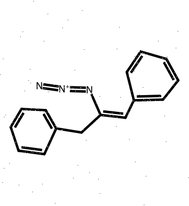 [N-]=[N+]=NC(=Cc1ccccc1)Cc1ccccc1